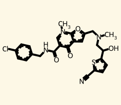 CN(Cc1cc2c(=O)c(C(=O)NCc3ccc(Cl)cc3)cn(C)c2o1)CC(O)c1ccc(C#N)s1